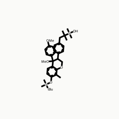 COc1ccc(C2(OC)c3ccc(O[Si](C)(C)C(C)(C)C)c(C)c3OCC2c2ccc(CC(C)(C)[Si](C)(C)O)cc2)cc1